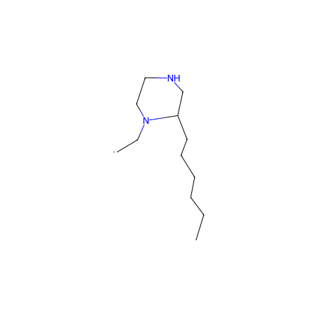 [CH2]CN1CCNCC1CCCCCC